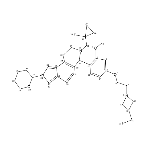 COc1cc(OCCN2CC(CF)C2)ccc1C1c2ccc3nn(C4CCCCO4)cc3c2CCN1CC1(F)CC1